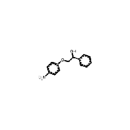 O=[N+]([O-])c1ccc(OCC(O)c2ccccc2)cc1